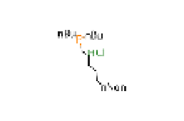 CCCCCCCCCCCCCCP(CCCC)CCCC.Cl